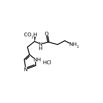 Cl.NCCC(=O)N[C@@H](Cc1cnc[nH]1)C(=O)O